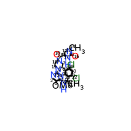 COc1cnc(N2CCN(C(=O)[C@H]3CN(C)C(=O)N3)CC2)nc1N[C@H](C)c1ccc(Cl)cc1Cl